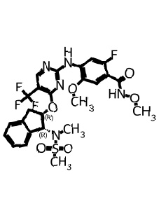 CONC(=O)c1cc(OC)c(Nc2ncc(C(F)(F)F)c(O[C@@H]3Cc4ccccc4[C@H]3N(C)S(C)(=O)=O)n2)cc1F